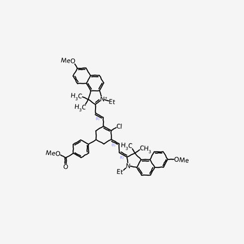 CCN1/C(=C/C=C2\CC(c3ccc(C(=O)OC)cc3)CC(/C=C/C3=[N+](CC)c4ccc5cc(OC)ccc5c4C3(C)C)=C2Cl)C(C)(C)c2c1ccc1cc(OC)ccc21